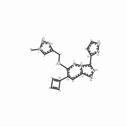 Cn1cc(COc2nn3c(-c4ccon4)nnc3cc2C2=CC=C2)nn1